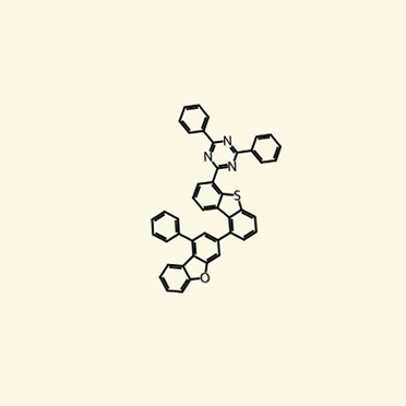 c1ccc(-c2nc(-c3ccccc3)nc(-c3cccc4c3sc3cccc(-c5cc(-c6ccccc6)c6c(c5)oc5ccccc56)c34)n2)cc1